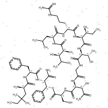 CC[C@H](C)[C@H](NC(=O)[C@@H](CCCNC(=N)N)NC(=O)[C@H](CC(C)C)NC(=O)[C@@H](C)[C@H](O)C(C)C)C(=O)N[C@H](C(=O)NCC(=O)N[C@H](C(=O)N[C@@H](CO)C(=O)O[C@H](c1ccccc1)[C@H](NC(=O)[C@H](Cc1cccnc1)NC(=O)[C@H](N)CC(C)(C)CC)C(N)=O)[C@H](O)C(N)=O)[C@H](C)O